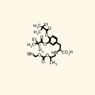 CCC(C)(C)C(=O)Oc1ccc(C[C@H](NCC(C)OC(=O)OCC(C)(C)C)C(=O)O)cc1OC(=O)C(C)(C)CC